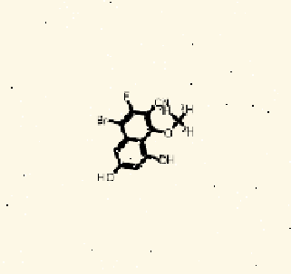 [2H]C([2H])([2H])Oc1c(C#N)c(F)c(Br)c2cc(O)cc(O)c12